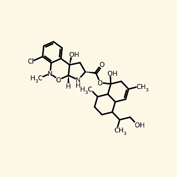 CC1=CC2C(C(C)CO)CCC(C)C2C(O)(OC(=O)[C@@H]2C[C@@]3(O)c4cccc(Cl)c4N(C)O[C@H]3N2)C1